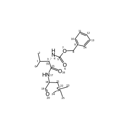 CC(C)[C@H](NC(=O)OCc1ccccc1)C(=O)NC(C=O)C[Si](C)(C)C